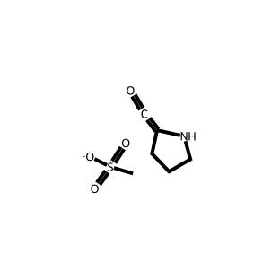 CS([O])(=O)=O.O=C=C1CCCN1